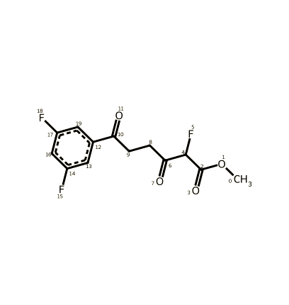 COC(=O)C(F)C(=O)CCC(=O)c1cc(F)cc(F)c1